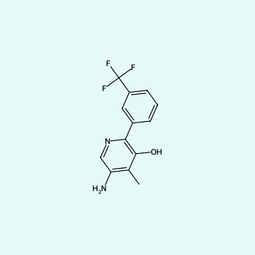 Cc1c(N)cnc(-c2cccc(C(F)(F)F)c2)c1O